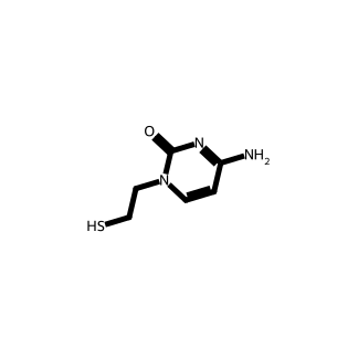 Nc1ccn(CCS)c(=O)n1